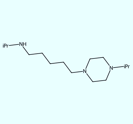 CC(C)NCCCCCN1CCN(C(C)C)CC1